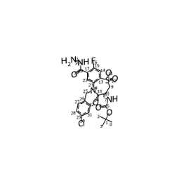 CC(C)(C)OC(=O)N[C@H]1CS(=O)(=O)c2cc(F)c(C(=O)NN)cc2N(Cc2ccc(Cl)cc2)C1=O